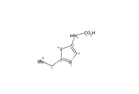 CC(C)(C)Cc1ncc(NC(=O)O)s1